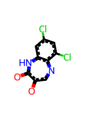 O=c1cnc2c(Cl)cc(Cl)cc2[nH]c1=O